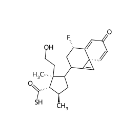 C[C@@H]1CC(C2C[C@H](F)C3=CC(=O)C=C[C@@]34C=C24)[C@](C)(CCO)[C@H]1C(=O)S